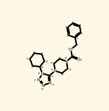 O=C(OCc1ccccc1)N1CCN(c2nnnn2C2CCCCC2)CC1